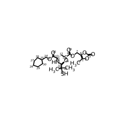 Cc1oc(=O)oc1COC(=O)SC[C@H](NC(=O)C(C)(C)S)C(=O)OCC1CCCCC1